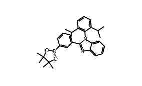 CC(C)c1cccc(C(C)C)c1-n1c(-c2cccc(B3OC(C)(C)C(C)(C)O3)c2)nc2ccccc21